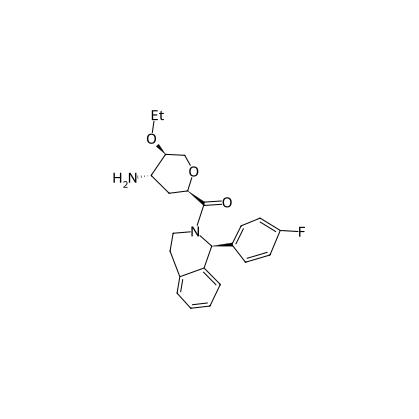 CCO[C@H]1CO[C@@H](C(=O)N2CCc3ccccc3[C@@H]2c2ccc(F)cc2)C[C@@H]1N